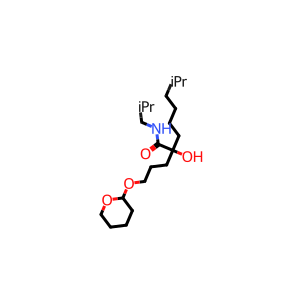 CC(C)CCCCC(O)(CCCOC1CCCCO1)C(=O)NCC(C)C